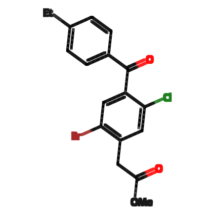 CCc1ccc(C(=O)c2cc(Br)c(CC(=O)OC)cc2Cl)cc1